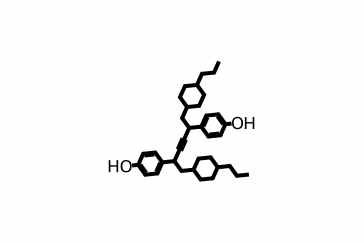 CCCC1CCC(CC(C#CC(CC2CCC(CCC)CC2)c2ccc(O)cc2)c2ccc(O)cc2)CC1